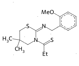 CCC(=S)N1CC(C)(C)CSC1=NCc1ccccc1OC